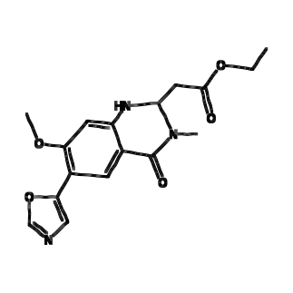 CCOC(=O)CC1Nc2cc(OC)c(-c3cnco3)cc2C(=O)N1C